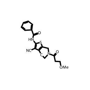 COCCC(=O)N1CCc2c(sc(NC(=O)c3ccccc3)c2C#N)C1